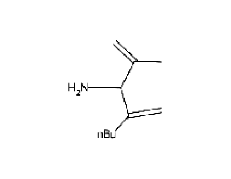 C=C(C)C(N)C(=C)CCCC